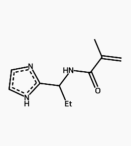 C=C(C)C(=O)NC(CC)c1ncc[nH]1